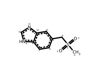 CS(=O)(=O)Cc1ccc2[nH]cnc2c1